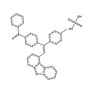 Cc1ccc(C(=Cc2cccc3sc4ccccc4c23)c2ccc(C(=O)c3ccccc3)cc2)cc1.O=S(=O)(O)O